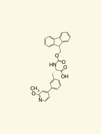 COc1cc(-c2cccc(C[C@H](NC(=O)OCC3c4ccccc4-c4ccccc43)C(=O)O)c2)ccn1